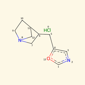 Cl.c1ncc(CC2CN3CCC2C3)o1